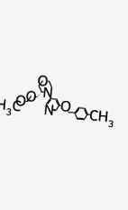 COCOC[C@@H]1COCCN1c1cncc(OCc2ccc(C)cc2)c1